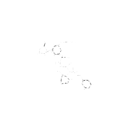 CCCCCOc1cc(C(=O)N[C@@H](Cc2ccccc2)[C@H](O)CNCCc2ccccc2)cc(N2CCCC2=O)c1